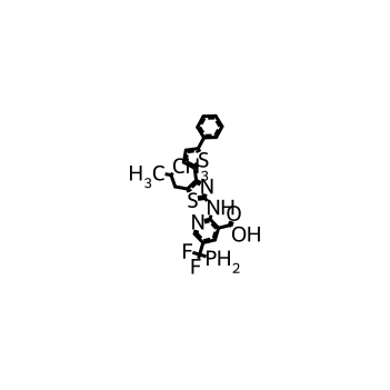 CC(C)Cc1sc(Nc2ncc(C(F)(F)P)cc2C(=O)O)nc1-c1ccc(-c2ccccc2)s1